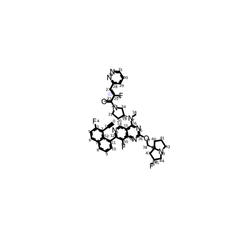 C#Cc1c(F)ccc2cccc(-c3ncc4c(N(C)[C@@H]5CCN(C(=O)/C(F)=C/c6cccnn6)C5)nc(OC[C@@]56CCCN5C[C@H](F)C6)nc4c3F)c12